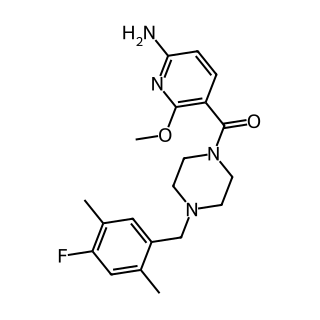 COc1nc(N)ccc1C(=O)N1CCN(Cc2cc(C)c(F)cc2C)CC1